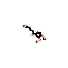 C#CCCCC(=O)c1ccc(OCC)c(OCC)c1